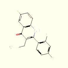 COCc1c(-c2ccc(C(C)(C)C)cc2C)[nH]c2ccc(F)cc2c1=O